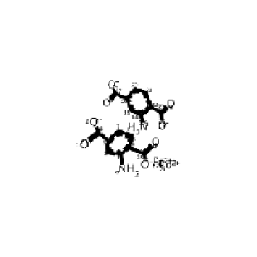 Nc1cc(C(=O)[O-])ccc1C(=O)[O-].Nc1cc(C(=O)[O-])ccc1C(=O)[O-].[Co+2].[Fe+2]